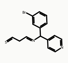 S=CCC=NC(c1ccncc1)c1cccc(Br)c1